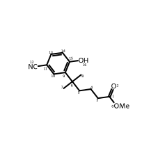 COC(=O)CCCC(C)(C)c1cc(C#N)ccc1O